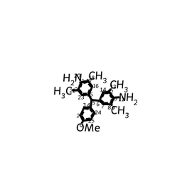 COc1ccc(C(c2cc(C)c(N)c(C)c2)c2cc(C)c(N)c(C)c2)cc1